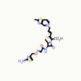 Cc1nc2c[n+](C/C=C/C3=C(C(=O)O)N4C(=O)C(NC(=O)C=NOCc5csc(N)n5)C4CS3)ccc2s1